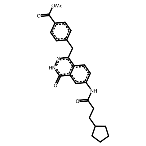 COC(=O)c1ccc(Cc2n[nH]c(=O)c3cc(NC(=O)CCC4CCCC4)ccc23)cc1